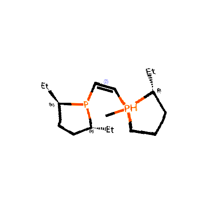 CC[C@@H]1CC[C@@H](CC)P1/C=C\[PH]1(C)CCC[C@H]1CC